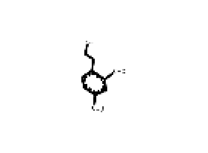 O=Cc1cc(C(=O)O)ccc1CCO